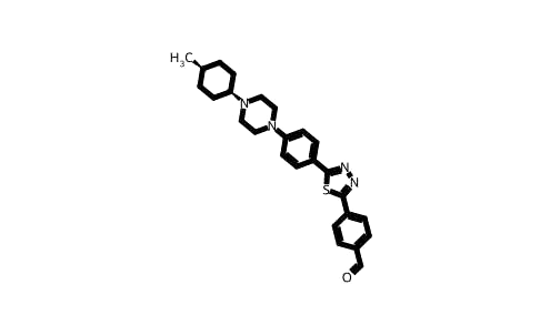 C[C@H]1CC[C@@H](N2CCN(c3ccc(-c4nnc(-c5ccc(C=O)cc5)s4)cc3)CC2)CC1